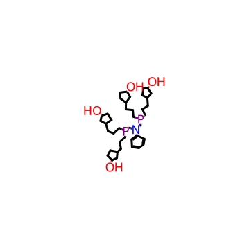 OC1CCC(CCCP(CCCC2CCC(O)C2)CN(CP(CCCC2CCC(O)C2)CCCC2CCC(O)C2)c2ccccc2)C1